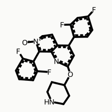 [O-][n+]1ccc2c(-c3ccc(F)cc3F)cc(OC3CCNCC3)nc2c1-c1c(F)cccc1F